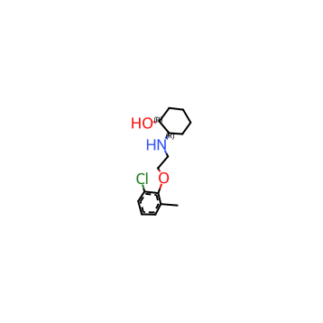 Cc1cccc(Cl)c1OCCN[C@@H]1CCCC[C@H]1O